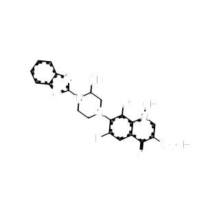 CC1CN(c2c(F)cc3c(=O)c(C(=O)O)cn(C)c3c2C(F)(F)F)CCN1c1nc2ccccc2o1